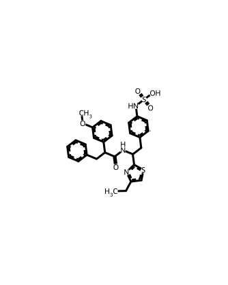 CCc1csc(C(Cc2[c]cc(NS(=O)(=O)O)cc2)NC(=O)C(Cc2ccccc2)c2cccc(OC)c2)n1